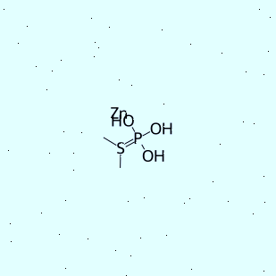 CS(C)=P(O)(O)O.[Zn]